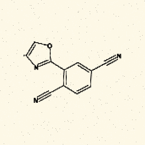 N#Cc1ccc(C#N)c(-c2n[c]co2)c1